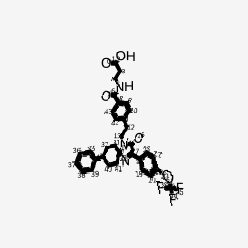 O=C(O)CCNC(=O)c1ccc(CCN2C(=O)C(c3ccc(OC(F)(F)F)cc3)=NC23CCC(c2ccccc2)CC3)cc1